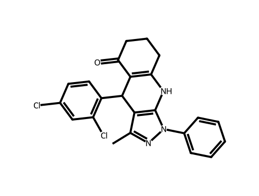 Cc1nn(-c2ccccc2)c2c1C(c1ccc(Cl)cc1Cl)C1=C(CCCC1=O)N2